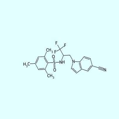 Cc1cc(C)c(S(=O)(=O)NC(Cn2ccc3cc(C#N)ccc32)C(F)(F)F)c(C)c1